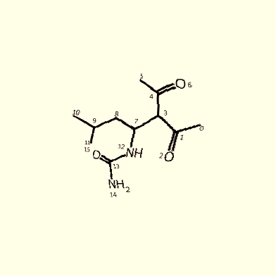 CC(=O)C(C(C)=O)C(CC(C)C)NC(N)=O